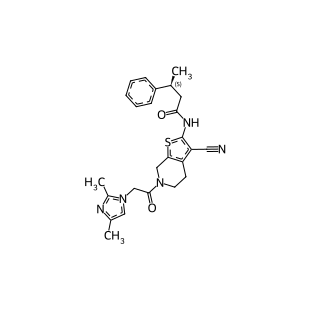 Cc1cn(CC(=O)N2CCc3c(sc(NC(=O)C[C@H](C)c4ccccc4)c3C#N)C2)c(C)n1